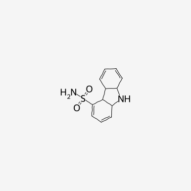 NS(=O)(=O)C1=CC=CC2NC3C=CC=CC3C12